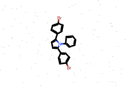 Brc1ccc(-c2ccc(-c3ccc(Br)cc3)n2-c2ccccc2)cc1